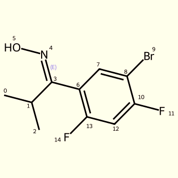 CC(C)/C(=N\O)c1cc(Br)c(F)cc1F